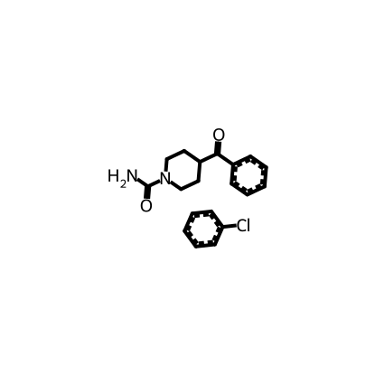 Clc1ccccc1.NC(=O)N1CCC(C(=O)c2ccccc2)CC1